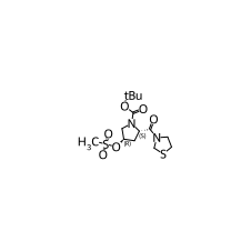 CC(C)(C)OC(=O)N1C[C@H](OS(C)(=O)=O)C[C@H]1C(=O)N1CCSC1